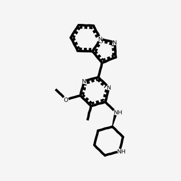 COc1nc(-c2cnn3ccccc23)nc(N[C@@H]2CCCNC2)c1C